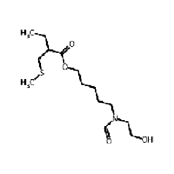 CCC(CSC)C(=O)OCCCCCN(C=O)CCO